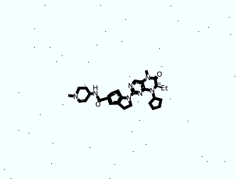 CC[C@@H]1C(=O)N(C)c2cnc(N3CCc4cc(C(=O)NC5CCN(C)CC5)ccc43)nc2N1C1CCCC1